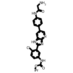 CC(C)OC(=O)Nc1ccc(Cl)c(-c2nc3ncc(-c4ccc(NC(=O)CN)cc4)cc3[nH]2)c1